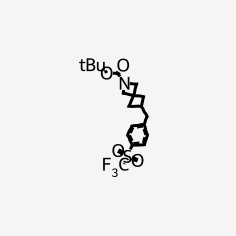 CC(C)(C)OC(=O)N1CC2(CC(Cc3ccc(S(=O)(=O)C(F)(F)F)cc3)C2)C1